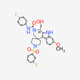 COc1ccc2c3c([nH]c2c1)[C@H](CO)N(C(=O)Nc1ccc(F)cc1)CC31CCN(S(=O)(=O)c2cccc(F)c2)CC1